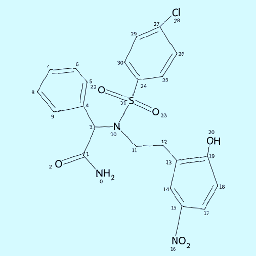 NC(=O)C(c1ccccc1)N(CCc1cc([N+](=O)[O-])ccc1O)S(=O)(=O)c1ccc(Cl)cc1